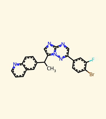 CC(c1ccc2ncccc2c1)c1cnc2ncc(-c3ccc(Br)c(F)c3)nn12